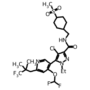 CCn1nc(C(=O)NCC2CCC(S(C)(=O)=O)CC2)c(Cl)c1-c1cnc(CC(C)(C)C(F)(F)F)cc1OC(F)F